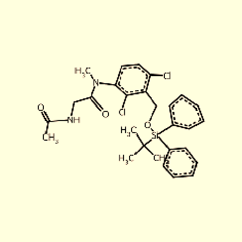 CC(=O)NCC(=O)N(C)c1ccc(Cl)c(CO[Si](c2ccccc2)(c2ccccc2)C(C)(C)C)c1Cl